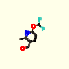 Cc1nc(OC(F)F)ccc1C=O